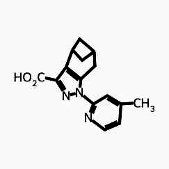 Cc1ccnc(-n2nc(C(=O)O)c3c2CC2CC3C2)c1